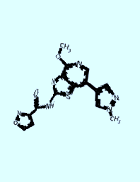 COc1ncc(-c2cnn(C)c2)c2sc(NC(=O)c3ccon3)nc12